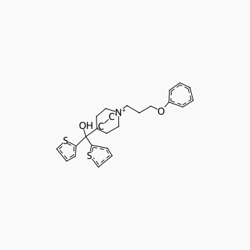 OC(c1cccs1)(c1cccs1)C12CC[N+](CCCOc3ccccc3)(CC1)CC2